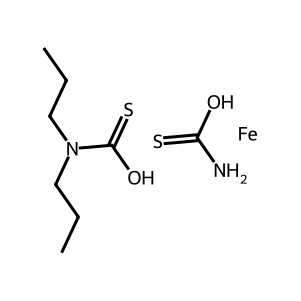 CCCN(CCC)C(O)=S.NC(O)=S.[Fe]